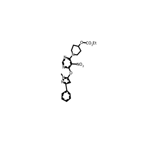 CCOC(=O)OC1CCN(c2ncnc(Oc3cc(-c4ccccc4)nn3C)c2[N+](=O)[O-])CC1